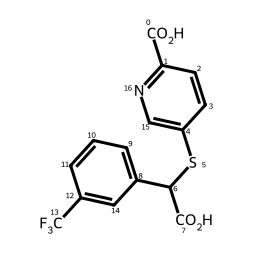 O=C(O)c1ccc(SC(C(=O)O)c2cccc(C(F)(F)F)c2)cn1